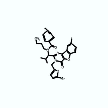 Cc1ccc(C(=O)N(CCCN)C(c2nc3c(oc4ccc(F)cc43)c(=O)n2Cc2ccc(Br)s2)C(C)C)cc1